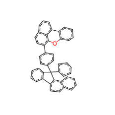 c1ccc(C2(c3ccc(-c4ccc5cccc6c5c4Oc4ccccc4-6)cc3)c3ccccc3-c3ccc4ccccc4c32)cc1